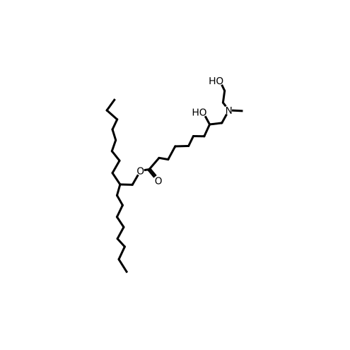 CCCCCCCCC(CCCCCCCC)COC(=O)CCCCCCC(O)CN(C)CCO